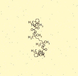 CC(C)(CCCCC(C)(C)OOC(=O)C(=O)OC1CC2CCC1(C)C2(C)C)OOC(=O)C(=O)OC1CC2CCC1(C)C2(C)C